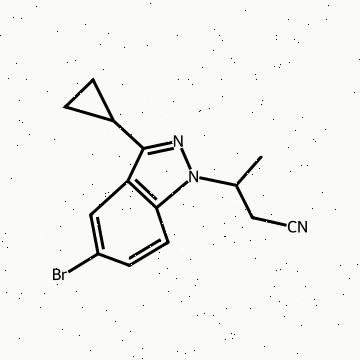 CC(CC#N)n1nc(C2CC2)c2cc(Br)ccc21